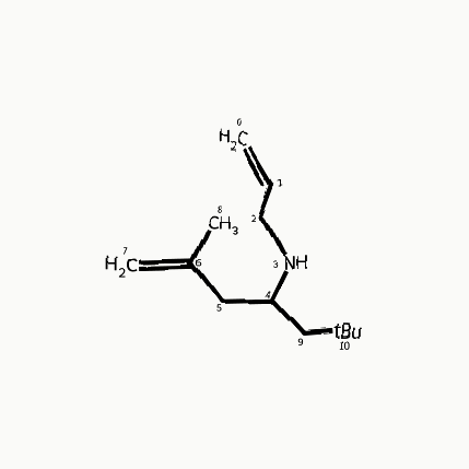 C=CCNC(CC(=C)C)CC(C)(C)C